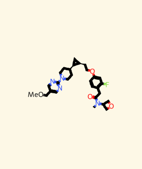 COCc1cnc(N2CCC([C@H]3C[C@H]3CCOc3ccc(CC(=O)N(C)C4COC4)c(F)c3)CC2)nc1